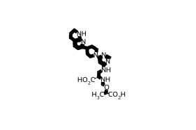 C[C@H](OCN[C@@H](CNc1cc(N2CCC(c3ccc4c(n3)NCCC4)CC2)ncn1)C(=O)O)C(=O)O